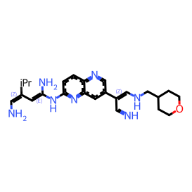 CC(C)C(=C/N)/C=C(\N)Nc1ccc2ncc(/C(C=N)=C/NCC3CCOCC3)cc2n1